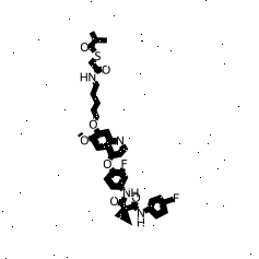 COc1cc2c(Oc3ccc(NC(=O)C4(C(=O)Nc5ccc(F)cc5)CC4)cc3F)ccnc2cc1OCCCCCNC(=O)CSC(=O)C(C)C